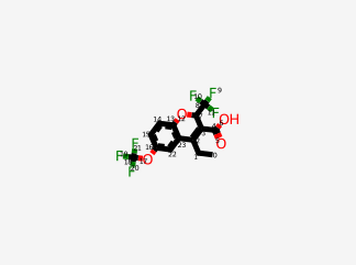 CCC1=C(C(=O)O)C(C(F)(F)F)Oc2ccc(OC(F)(F)F)cc21